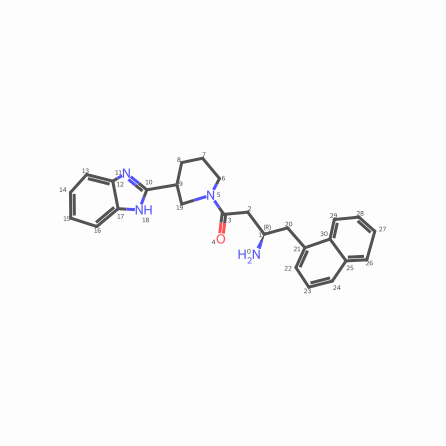 N[C@@H](CC(=O)N1CCCC(c2nc3ccccc3[nH]2)C1)Cc1cccc2ccccc12